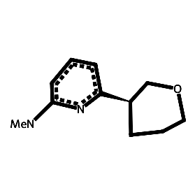 CNc1cccc([C@@H]2CCCOC2)n1